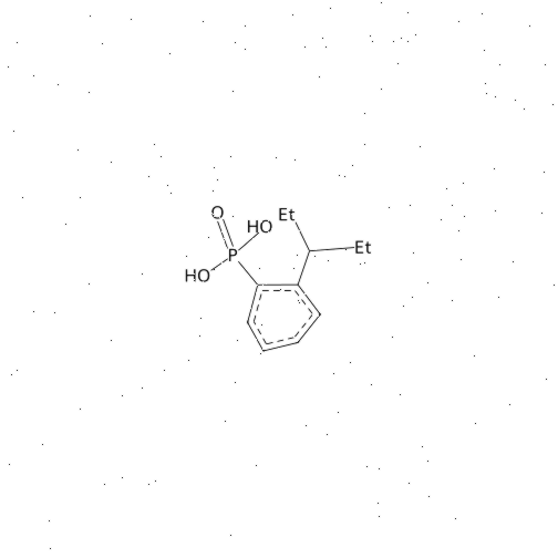 CCC(CC)c1ccccc1P(=O)(O)O